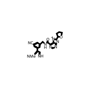 CN/C=C(\C=N)c1cc(C#N)cc(CNC(=O)c2ncnc3nc(C4CCCO4)n(C)c23)c1